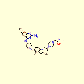 Cc1c(CN2CCC(Nc3nc(N)nc4sc(CC(F)(F)F)cc34)CC2)ccc2c1cc(C#N)n2C[C@H](C)N1CCN(CC(N)O)CC1